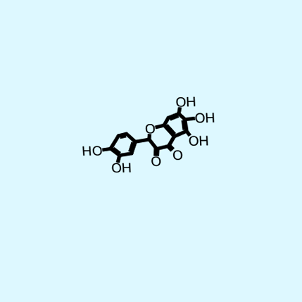 O=C1C(=O)C(c2ccc(O)c(O)c2)Oc2cc(O)c(O)c(O)c21